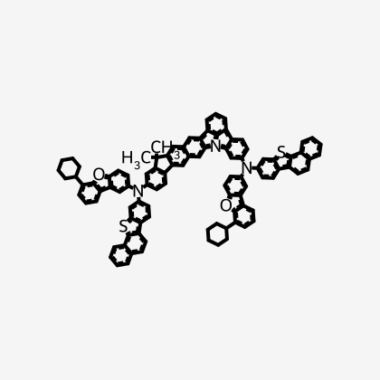 CC1(C)c2cc(N(c3ccc4c(c3)sc3c5ccccc5ccc43)c3ccc4oc5c(C6CCCCC6)cccc5c4c3)ccc2-c2cc3cc4c(cc3cc21)c1cccc2c3ccc(N(c5ccc6c(c5)sc5c7ccccc7ccc65)c5ccc6oc7c(C8CCCCC8)cccc7c6c5)cc3n4c21